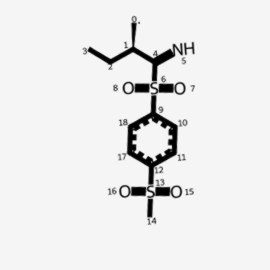 [CH2][C@H](CC)C(=N)S(=O)(=O)c1ccc(S(C)(=O)=O)cc1